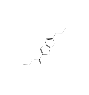 CCCc1cc2cc(C(=O)OCC)[nH]c2s1